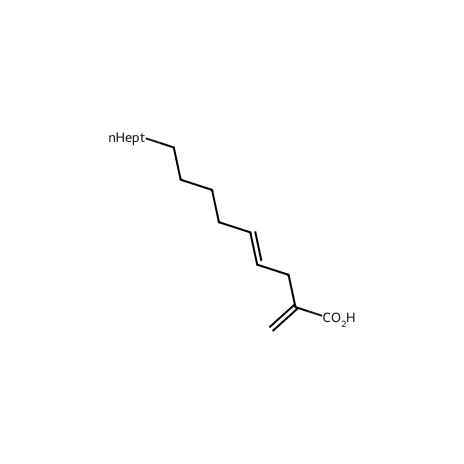 C=C(CC=CCCCCCCCCCCC)C(=O)O